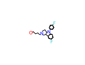 O=CCCCN1CCC2C(C1)c1cc(F)ccc1N2c1ccc(F)cc1